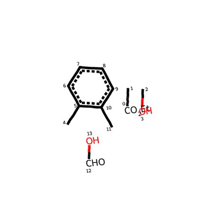 CCOC(C)=O.CO.Cc1ccccc1C.O=CO